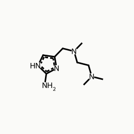 CN(C)CCN(C)Cc1c[nH]c(N)n1